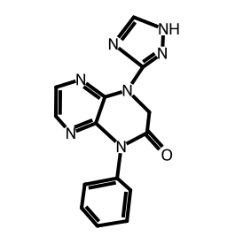 O=C1CN(c2nc[nH]n2)c2nccnc2N1c1ccccc1